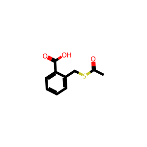 CC(=O)SCc1ccccc1C(=O)O